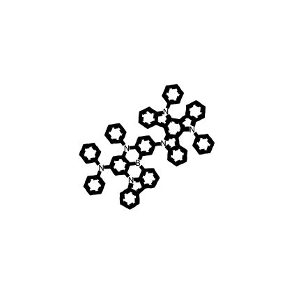 c1ccc(N(c2ccccc2)c2cc3c4c(c2)-n2c5ccccc5c5cccc(c52)B4c2cc(-n4c5ccccc5c5c6c(c7ccccc7n6-c6ccccc6)c6c(c7ccccc7n6-c6ccccc6)c54)ccc2N3c2ccccc2)cc1